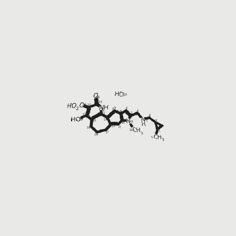 CC1CC1CNCc1cc2cc3c(cc2n1C)CCCc1c-3[nH]c(=O)c(C(=O)O)c1O.Cl